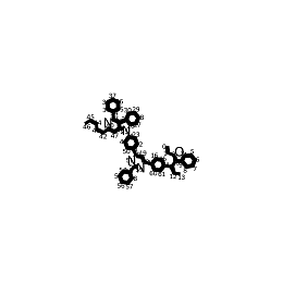 C=Cc1oc2ccccc2c1/C(=C\C)c1ccc(-c2cc(-c3ccc(-n4c5ccccc5c5c(-c6ccccc6)nc(/C=C\C=C/C)cc54)cc3)nc(-c3ccccc3)n2)cc1